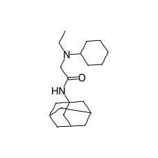 CCN(CC(=O)NC12CC3CC(CC(C3)C1)C2)C1CCCCC1